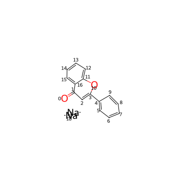 O=c1cc(-c2ccccc2)oc2ccccc12.[Na].[Na]